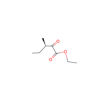 CCOC(=O)C(=O)[C@H](C)CC